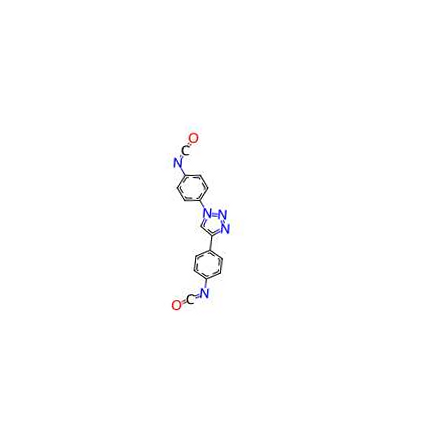 O=C=Nc1ccc(-c2cn(-c3ccc(N=C=O)cc3)nn2)cc1